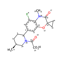 C[C@H]1CCC(c2cc(F)c3c(c2)OC2(CC2)C(=O)N3C)N(C(=O)C(=O)O)C1